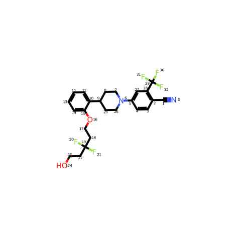 N#Cc1ccc(N2CCC(c3ccccc3OCCC(F)(F)CCO)CC2)cc1C(F)(F)F